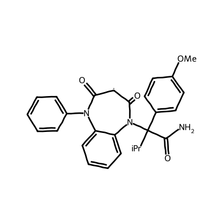 COc1ccc(C(C(N)=O)(C(C)C)N2C(=O)[CH]C(=O)N(c3ccccc3)c3ccccc32)cc1